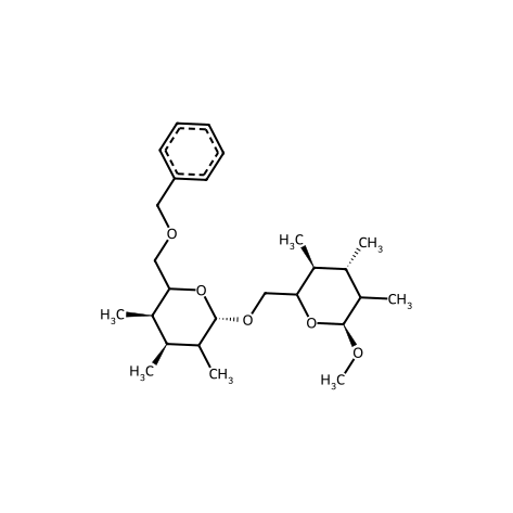 CO[C@H]1OC(CO[C@H]2OC(COCc3ccccc3)[C@H](C)[C@H](C)C2C)[C@@H](C)[C@H](C)C1C